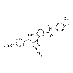 CN(C(=O)c1cccc(-n2nc(C(F)(F)F)cc2C(O)c2ccc(C(=O)O)cc2)c1)c1ccc2c(c1)OCC2